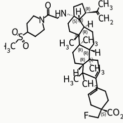 C=C(C)[C@@H]1CC[C@]2(NCC(=O)N3CCC(S(C)(=O)=O)CC3)CC[C@]3(C)[C@H](CC[C@@H]4[C@@]5(C)CC=C(C6=CC[C@](CF)(C(=O)O)CC6)C(C)(C)[C@@H]5CC[C@]43C)[C@@H]12